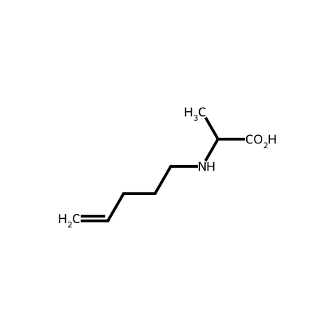 C=CCCCNC(C)C(=O)O